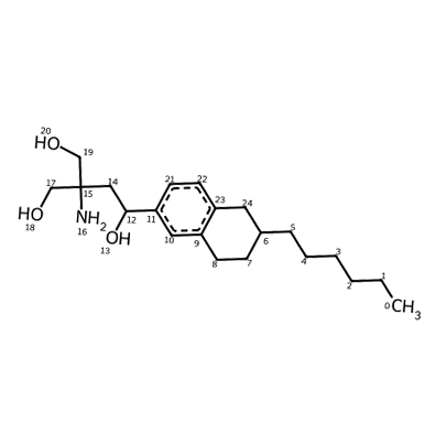 CCCCCCC1CCc2cc(C(O)CC(N)(CO)CO)ccc2C1